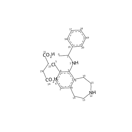 CC(Nc1c(Cl)ccc2c1CCNCC2)c1ccccc1.O=C(O)CCC(=O)O